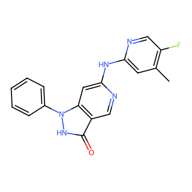 Cc1cc(Nc2cc3c(cn2)c(=O)[nH]n3-c2ccccc2)ncc1F